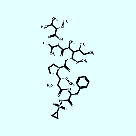 CC[C@H](C)C([C@@H](CC(=O)N1CCC[C@H]1[C@H](OC)[C@@H](C)C(=O)N[C@@H](Cc1ccccc1)C(=O)NS(=O)(=O)C1CC1)OC)N(C)C(=O)[C@@H](NC(=O)[C@@H](NC)C(C)C)C(C)C